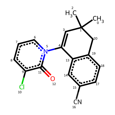 CC1(C)C=C(n2cccc(Cl)c2=O)c2cc(C#N)ccc2C1